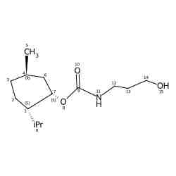 CC(C)[C@@H]1CC[C@@H](C)C[C@@H]1OC(=O)NCCCO